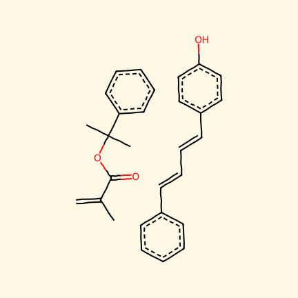 C=C(C)C(=O)OC(C)(C)c1ccccc1.Oc1ccc(C=CC=Cc2ccccc2)cc1